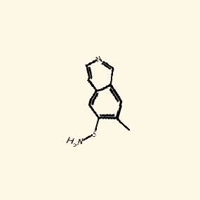 Cc1cc2cnccc2cc1SN